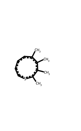 Cc1ccccsc(C)c(C)c1C